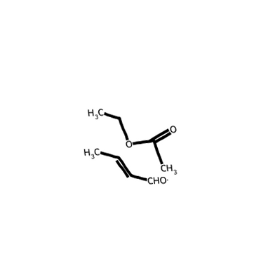 CC=C[C]=O.CCOC(C)=O